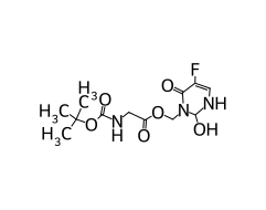 CC(C)(C)OC(=O)NCC(=O)OCN1C(=O)C(F)=CNC1O